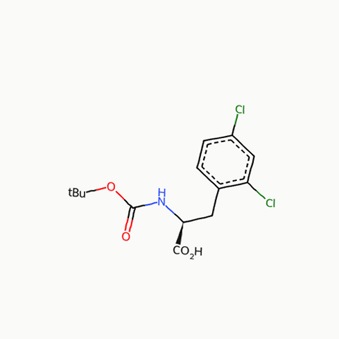 CC(C)(C)OC(=O)N[C@@H](Cc1ccc(Cl)cc1Cl)C(=O)O